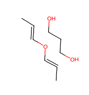 CC=COC=CC.OCCCO